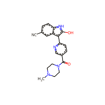 CN1CCN(C(=O)c2ccc(-c3c(O)[nH]c4ccc(C#N)cc34)nc2)CC1